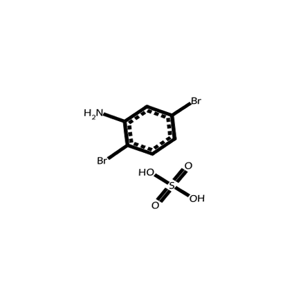 Nc1cc(Br)ccc1Br.O=S(=O)(O)O